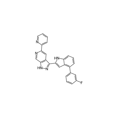 Fc1cccc(-c2cccc3[nH]c(-c4n[nH]c5cnc(-c6ccccn6)cc45)cc23)c1